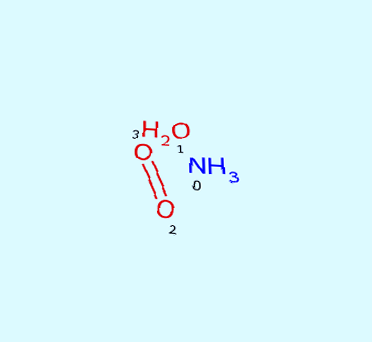 N.O.O=O